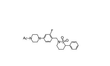 CC(=O)N1CCN(c2ccc(CN3CCCC(c4ccccc4)S3(=O)=O)c(F)c2)CC1